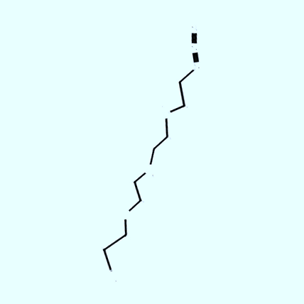 [N-]=[N+]=NCCOCCOCCOCCF